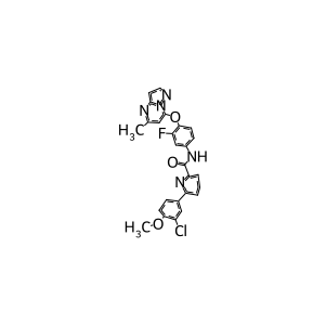 COc1ccc(-c2cccc(C(=O)Nc3ccc(Oc4cc(C)nc5ccnn45)c(F)c3)n2)cc1Cl